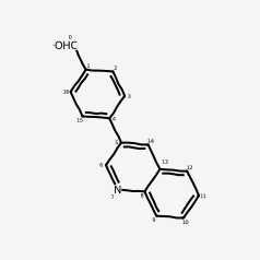 O=[C]c1ccc(-c2cnc3ccccc3c2)cc1